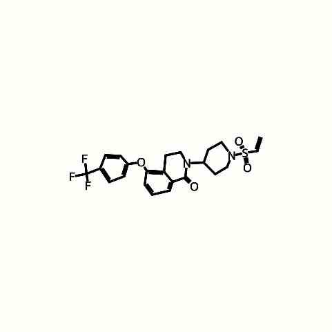 C=CS(=O)(=O)N1CCC(N2CCc3c(Oc4ccc(C(F)(F)F)cc4)cccc3C2=O)CC1